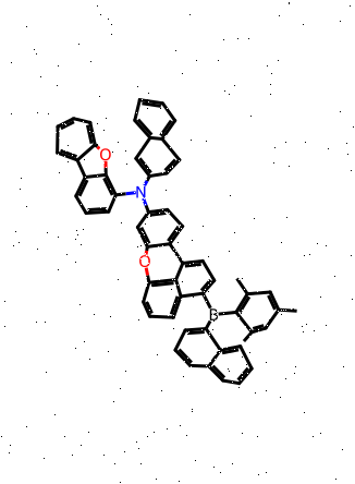 Cc1cc(C)c(B(c2cccc3ccccc23)c2ccc3c4c(cccc24)Oc2cc(N(c4ccc5ccccc5c4)c4cccc5c4oc4ccccc45)ccc2-3)c(C)c1